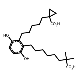 CC(C)(CCCCCCc1c(O)ccc(O)c1CCCCCC1(C(=O)O)CC1)C(=O)O